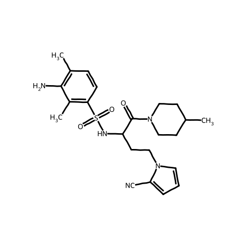 Cc1ccc(S(=O)(=O)NC(CCn2cccc2C#N)C(=O)N2CCC(C)CC2)c(C)c1N